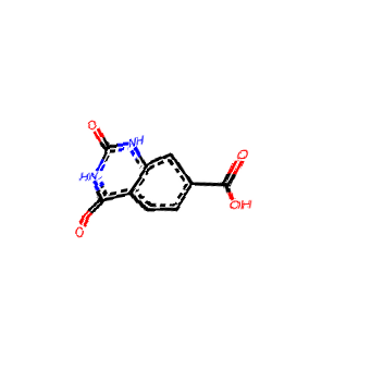 O=C(O)c1ccc2c(=O)[nH]c(=O)[nH]c2c1